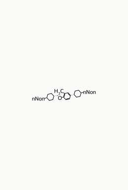 CCCCCCCCC[C@H]1CC[C@H](COc2ccc([C@H]3CC[C@H](CCCCCCCCC)CC3)cc2C)CC1